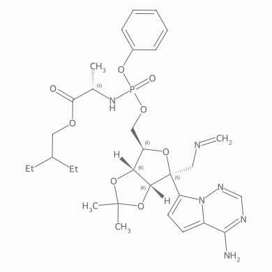 C=NC[C@@]1(c2ccc3c(N)ncnn23)O[C@H](COP(=O)(N[C@@H](C)C(=O)OCC(CC)CC)Oc2ccccc2)[C@H]2OC(C)(C)O[C@H]21